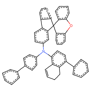 C1=Cc2c(N(c3ccc(-c4ccccc4)cc3)c3ccc4c(c3)C3(c5ccccc5Oc5ccccc53)c3ccccc3-4)ccc(-c3ccccc3)c2CC1